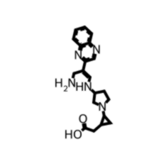 NC/C(=C\NC1CCN(C2CC2CC(=O)O)C1)c1cnc2ccccc2n1